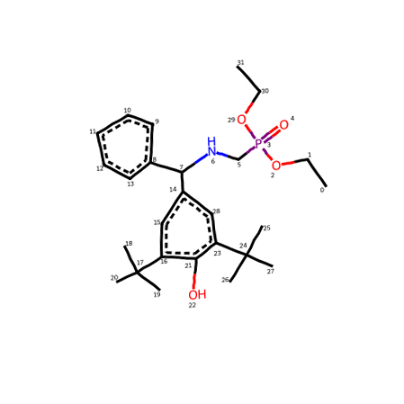 CCOP(=O)(CNC(c1ccccc1)c1cc(C(C)(C)C)c(O)c(C(C)(C)C)c1)OCC